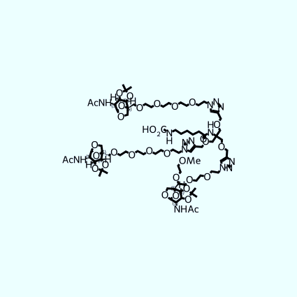 COCCOC(COCCOCCn1cc(COCC(COCc2cn(CCOCCOCCOCCOC[C@@]34COC(O3)[C@@H](NC(C)=O)[C@H]3OC(C)(C)O[C@H]34)nn2)(COCc2cn(CCOCCOCCOCCOC[C@@]34COC(O3)[C@@H](NC(C)=O)[C@H]3OC(C)(C)O[C@H]34)nn2)NC(=O)CCCCCNC(=O)O)nn1)[C@]12COC(O1)[C@@H](NC(C)=O)C1OC(C)(C)O[C@H]12